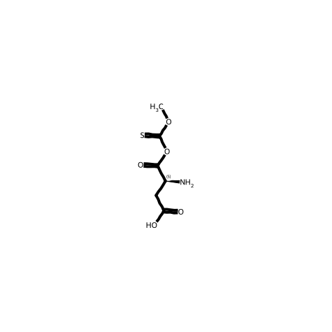 COC(=S)OC(=O)[C@@H](N)CC(=O)O